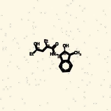 CC[C@@H](O)C[C@@H](CC)C(=O)N[C@H]1c2ccccc2C(C)[C@H]1O